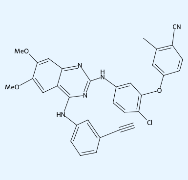 C#Cc1cccc(Nc2nc(Nc3ccc(Cl)c(Oc4ccc(C#N)c(C)c4)c3)nc3cc(OC)c(OC)cc23)c1